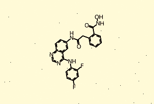 O=C(Cc1ccccc1C(=O)NO)Nc1ccc2ncnc(Nc3ccc(F)cc3F)c2c1